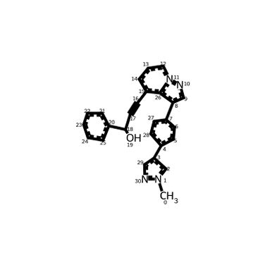 Cn1cc(-c2ccc(-c3cnn4cccc(C#CC(O)c5ccccc5)c34)cc2)cn1